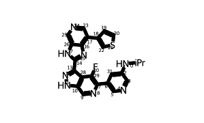 CC(C)Nc1cncc(-c2ncc3[nH]nc(-c4nc5c(-c6ccsc6)cncc5[nH]4)c3c2F)c1